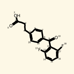 O=C(O)CCc1ccc(C(=O)c2c(F)cccc2F)cc1